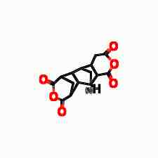 O=C1CC2C3C[C@H](C2C(=O)O1)C1C2CC(C(=O)OC2=O)C31